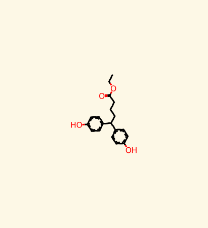 CCOC(=O)CCCC(c1ccc(O)cc1)c1ccc(O)cc1